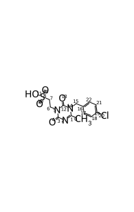 Cc1nc(=O)n(CCS(=O)(=O)O)c(=O)n1Cc1ccc(Cl)cc1